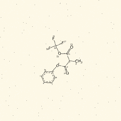 CC(C(=O)Oc1ccccc1)C(=O)OC(F)(F)F